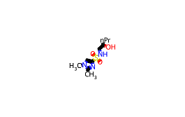 CCCC(O)CNS(=O)(=O)c1cn(C)c(C)n1